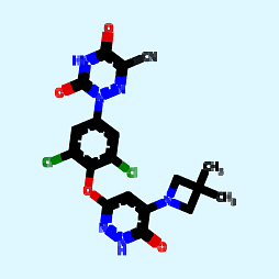 CC1(C)CN(c2cc(Oc3c(Cl)cc(-n4nc(C#N)c(=O)[nH]c4=O)cc3Cl)n[nH]c2=O)C1